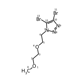 COCCOCCn1nnc(Br)c1Br